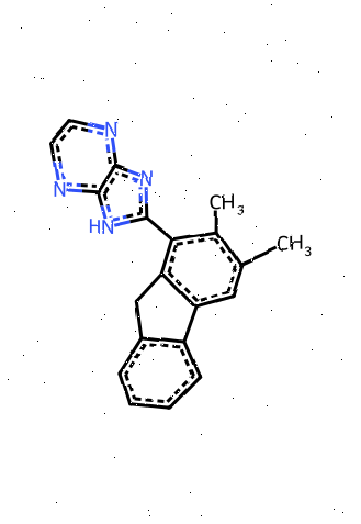 Cc1cc2c(c(-c3nc4nccnc4[nH]3)c1C)Cc1ccccc1-2